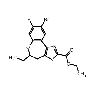 CCOC(=O)c1nc2c(s1)CC(CC)Oc1cc(F)c(Br)cc1-2